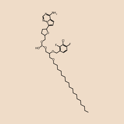 CCCCCCCCCCCCCCCCCCOCC(COP(O)OCC1CCC(c2ccc3c(N)ncnn23)O1)OCc1ccc(F)c(Cl)c1F